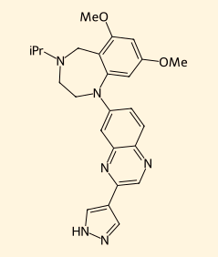 COc1cc(OC)c2c(c1)N(c1ccc3ncc(-c4cn[nH]c4)nc3c1)CCN(C(C)C)C2